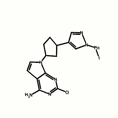 Nc1nc(Cl)nc2c1ccn2C1CCC(c2cnn(PI)c2)C1